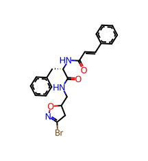 O=C(C=Cc1ccccc1)N[C@@H](Cc1ccccc1)C(=O)NCC1CC(Br)=NO1